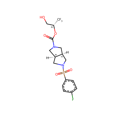 O=C(O[C@H](CO)C(F)(F)F)N1C[C@@H]2CN(S(=O)(=O)c3ccc(F)cc3)C[C@@H]2C1